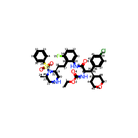 CCOC(=O)N[C@H](C(=O)Nc1cccc(F)c1CC[C@H]1CNC[C@@H](C)N1S(=O)(=O)c1ccccc1)[C@@H](c1ccc(Cl)cc1)C1CCOCC1